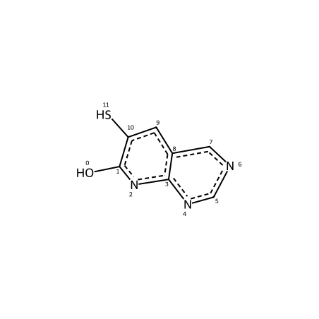 Oc1nc2ncncc2cc1S